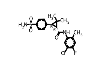 Cc1cc(F)c(Cl)cc1NC(=O)[C@@H]1[C@@H](c2ccc(S(N)(=O)=O)cc2)C1(C)C